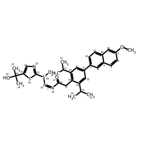 COc1ccc2cc(-c3cc(C(C)C)c(CC(=O)/N=N\[S+]([O-])c4ncc(C(C)(C)O)s4)c(C(C)C)c3)ccc2c1